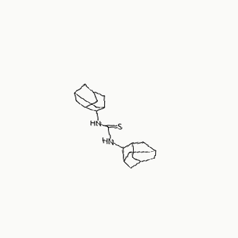 S=C(NC1C2CC3CC(C2)CC1C3)NC1C2CC3CC(C2)CC1C3